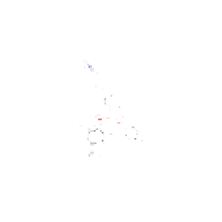 Cc1ccc(C(=O)Oc2cc3ccc(CCN)cc3cc2OC(=O)c2ccc(C)cc2)cc1.Cl